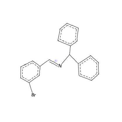 Brc1cccc(/C=N/C(c2ccccc2)c2ccccc2)c1